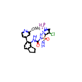 COc1cc(-c2ccc3c(c2NC(=O)NS(=N)(=O)c2nn(P)cc2Cl)CCC3)ccn1